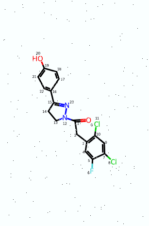 O=C(Cc1cc(F)c(Cl)cc1Cl)N1CCC(c2ccc(O)cc2)=N1